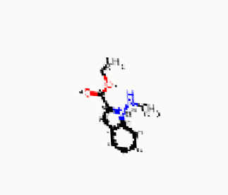 CCOC(=O)c1cc2ccccc2n1NC